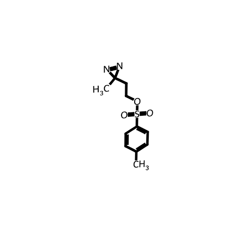 Cc1ccc(S(=O)(=O)OCCC2(C)N=N2)cc1